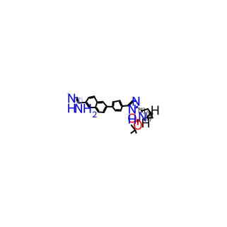 CN/C=C(\N)c1ccc2cc(-c3ccc(-c4cnc([C@@H]5C[C@@H]6C[C@@H]6N5C(=O)OC(C)(C)C)[nH]4)cc3)ccc2c1